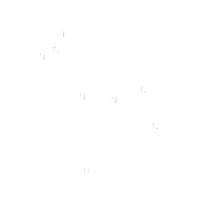 Cc1ccc(-c2nccnc2N2CCN(Cc3cnn(C)c3)CC2)cc1